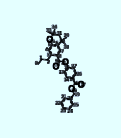 CCCc1cc2c(cc1C(=O)Oc1ccc(C(=O)OCc3ccccc3)cc1)C(C)(C)CC(C)(C)O2